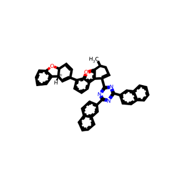 CC1CC=C(c2nc(-c3ccc4ccccc4c3)nc(-c3ccc4ccccc4c3)n2)c2c1oc1c(C3=C[C@@H]4c5ccccc5OC4C=C3)cccc21